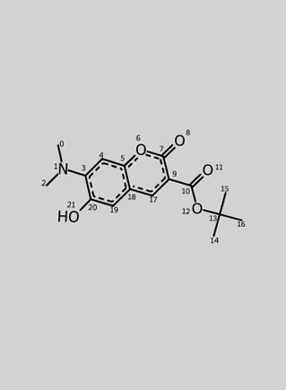 CN(C)c1cc2oc(=O)c(C(=O)OC(C)(C)C)cc2cc1O